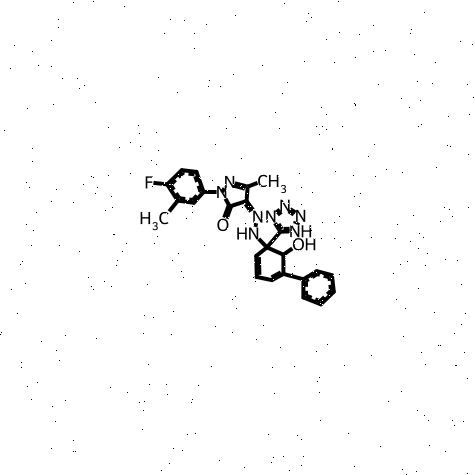 CC1=NN(c2ccc(F)c(C)c2)C(=O)C1=NNC1(c2nnn[nH]2)C=CC=C(c2ccccc2)C1O